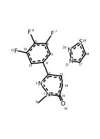 Cn1nc(-c2cc(F)c(F)c(F)c2)ccc1=O.c1csnn1